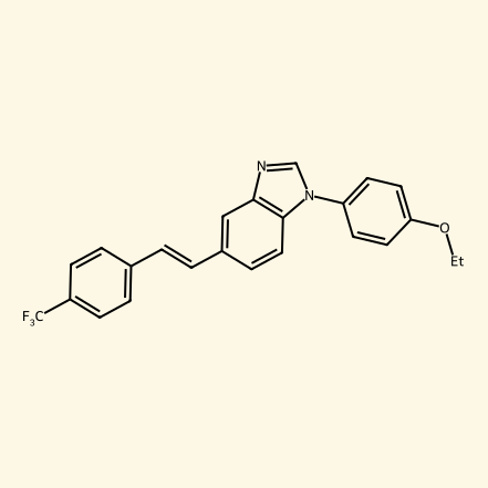 CCOc1ccc(-n2cnc3cc(C=Cc4ccc(C(F)(F)F)cc4)ccc32)cc1